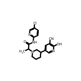 CC(C(=O)Nc1ccc(Cl)cn1)N1CCCC(c2cnc(O)c(C#N)c2)C1